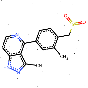 Cc1cc(-c2nccc3[nH]nc(C#N)c23)ccc1C[SH](=O)=O